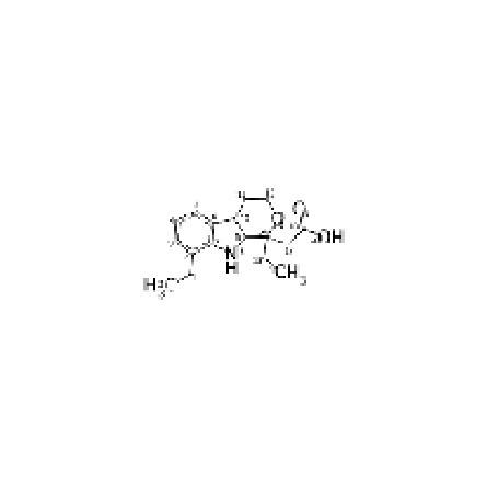 CCc1cccc2c1NC1C2CCOC1(CC)CC(=O)O